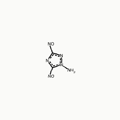 Nn1nc(N=O)nc1N=O